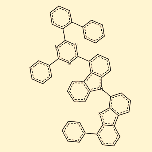 c1ccc(-c2nc(-c3ccccc3-c3ccccc3)nc(-c3cccc4c3c3ccccc3n4-c3cccc4c3sc3c(-c5ccccc5)cccc34)n2)cc1